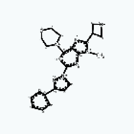 Cn1c(C2CNC2)nc2c(N3CCOCC3)nc(-n3ccc(-c4ccccc4)n3)nc21